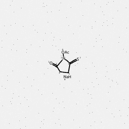 CC(=O)ON1C(=O)CCC1=S.[NaH]